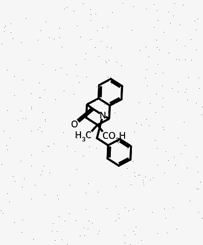 CC1(C(=O)O)CC2C(=O)N(Cc3ccccc3)C1c1ccccc12